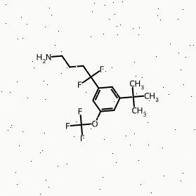 CC(C)(C)c1cc(OC(F)(F)F)cc(C(F)(F)CCCN)c1